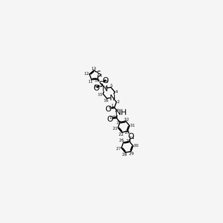 O=C(CN1CCN(S(=O)(=O)c2cccs2)CC1)NC(=O)c1ccc(Oc2ccccc2)cc1